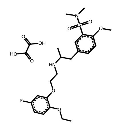 CCOc1ccc(F)cc1OCCNC(C)Cc1ccc(OC)c(S(=O)(=O)N(C)C)c1.O=C(O)C(=O)O